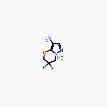 Cl.Nc1cnn2c1OCC(F)(F)C2